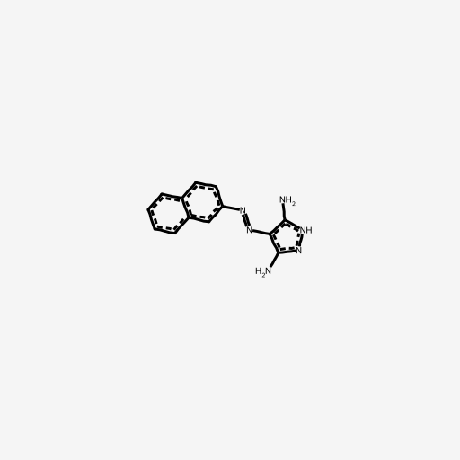 Nc1n[nH]c(N)c1N=Nc1ccc2ccccc2c1